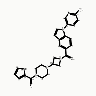 O=C(c1ccc2c(ccn2-c2ccc(C(F)(F)F)nc2)c1)N1CC(N2CCN(C(=O)c3ccc[nH]3)CC2)C1